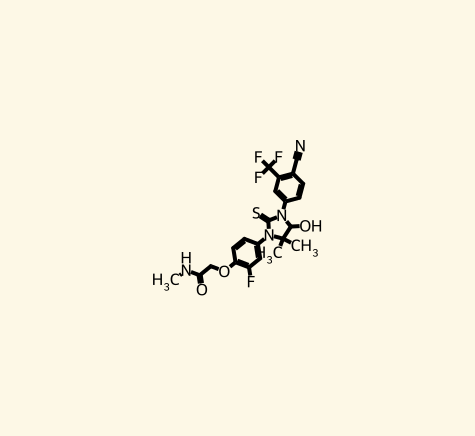 CNC(=O)COc1ccc(N2C(=S)N(c3ccc(C#N)c(C(F)(F)F)c3)C(O)C2(C)C)cc1F